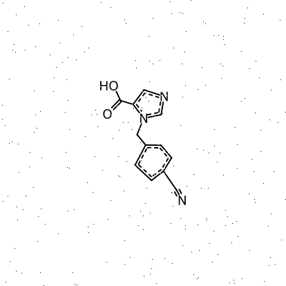 N#Cc1ccc(Cn2cncc2C(=O)O)cc1